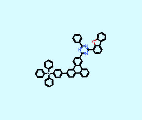 c1ccc(-c2nc(-c3ccc4c5cc(-c6ccc([Si](c7ccccc7)(c7ccccc7)c7ccccc7)cc6)ccc5c5ccccc5c4c3)nc(-c3cccc4c3oc3ccccc34)n2)cc1